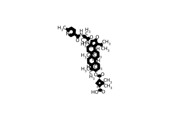 Cc1ccc(C(=O)NC(C)(C)C(=O)N[C@@]23CC[C@]4(C)[C@H](CC[C@@H]5[C@@]6(C)CC[C@H](OC(=O)[C@H]7C[C@@H](C(=O)O)C7(C)C)C(C)(C)[C@@H]6CC[C@]54C)C2=C(C(C)C)C(=O)C3)cn1